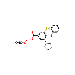 O=COCOC(=O)c1cc(S)c(Oc2ccccc2)c(C2CCCC2)c1